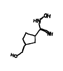 N=C(NO)C1CCC(CO)C1